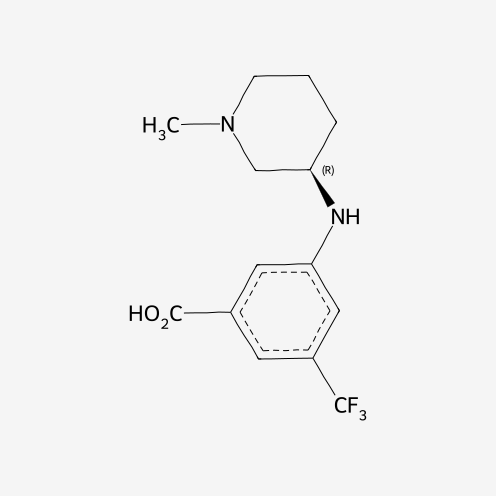 CN1CCC[C@@H](Nc2cc(C(=O)O)cc(C(F)(F)F)c2)C1